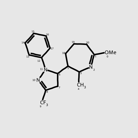 COC1=NC(C)C(C2CC(C(F)(F)F)=NN2c2ccccc2)CCC1